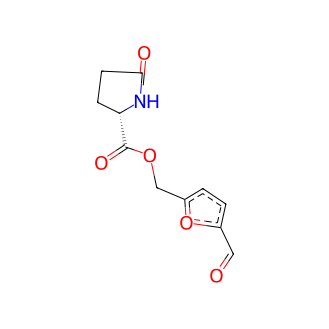 O=Cc1ccc(COC(=O)[C@@H]2CCC(=O)N2)o1